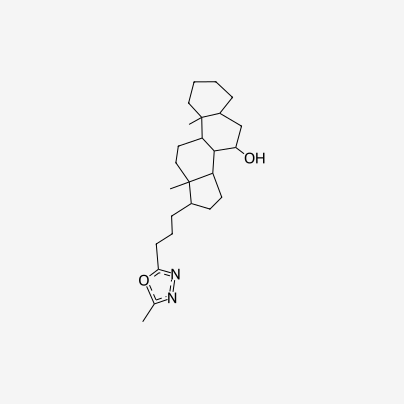 Cc1nnc(CCCC2CCC3C4C(O)CC5CCCCC5(C)C4CCC23C)o1